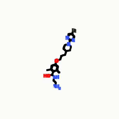 CCc1cnc(N2CCC(CCCOc3cc(C)c(C(O)NCCN)c(C)c3)CC2)nc1